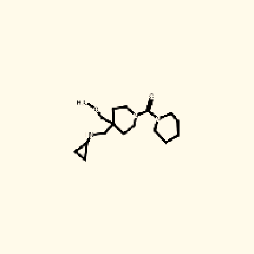 COCC1(CNC2CC2)CCN(C(=O)N2CCCCC2)CC1